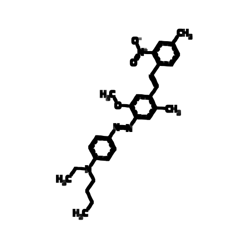 CCCCN(CC)c1ccc(/N=N/c2cc(C)c(/C=C/c3ccc(C)cc3[N+](=O)[O-])cc2OC)cc1